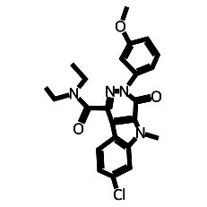 CCN(CC)C(=O)c1nn(-c2cccc(OC)c2)c(=O)c2c1c1ccc(Cl)cc1n2C